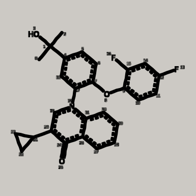 CC(C)(O)c1ccc(Oc2ccc(F)cc2F)c(-n2cc(C3CC3)c(=O)c3ccccc32)c1